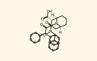 CN(Cc1ccccc1)C(=O)N1[C@H]2CCC[C@@H]1[C@@H](C(=O)O)N(C(=O)C(c1ccccc1)c1ccccc1)C2